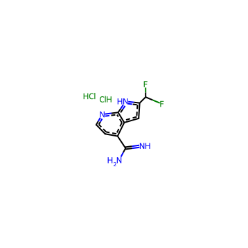 Cl.Cl.N=C(N)c1ccnc2[nH]c(C(F)F)cc12